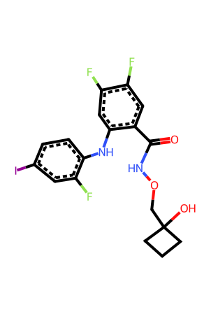 O=C(NOCC1(O)CCC1)c1cc(F)c(F)cc1Nc1ccc(I)cc1F